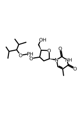 Cc1cn([C@H]2CC(OPOC(C(C)C)C(C)C)[C@@H](CO)O2)c(=O)[nH]c1=O